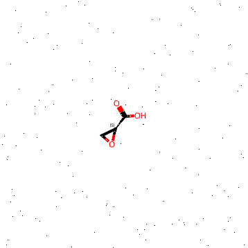 O=C(O)[C@@H]1CO1